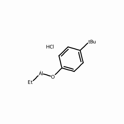 C[CH2][Al][O]c1ccc(C(C)(C)C)cc1.Cl